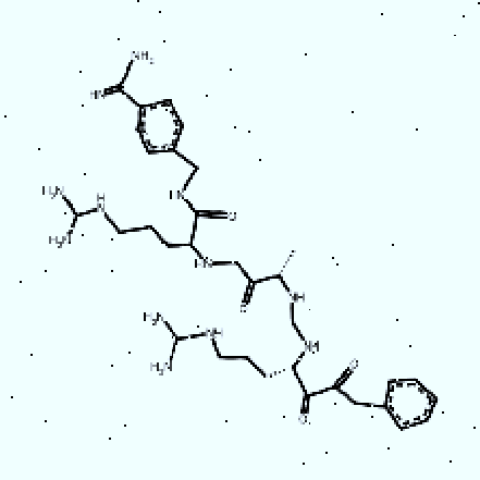 C[C@H](NCN[C@@H](CCCNC(N)N)C(=O)C(=O)Cc1ccccc1)C(=O)CN[C@@H](CCCNC(N)N)C(=O)NCc1ccc(C(=N)N)cc1